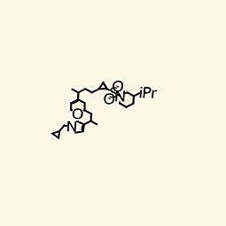 CC(CCC1CC1S(=O)(=O)N1CCCC(C(C)C)C1)C1=CCOC(CC(C)C2=CCN(CC3CC3)C2)C1